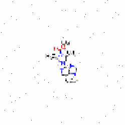 C[C@@H]1CN(c2ncc(C(=O)O)c3nccnc23)C[C@H](C)N1C(=O)OC(C)(C)C